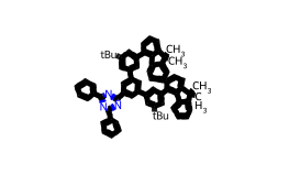 CC(C)(C)c1cc(-c2cc(-c3cc(-c4cccc5c4-c4ccccc4C5(C)C)cc(C(C)(C)C)c3)cc(-c3nc(-c4ccccc4)nc(-c4ccccc4)n3)c2)cc(-c2cccc3c2-c2ccccc2C3(C)C)c1